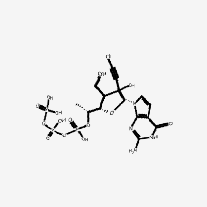 C[C@@H](OP(=O)(O)OP(=O)(O)OP(=O)(O)O)[C@H]1O[C@@H](n2ccc3c(=O)[nH]c(N)nc32)C(O)(C#CCl)C1CO